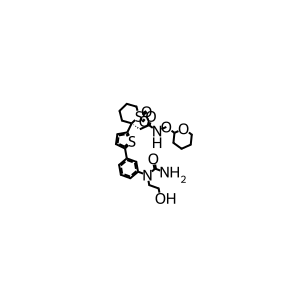 NC(=O)N(CCO)c1cccc(-c2ccc([C@@]3(CC(=O)NOC4CCCCO4)CCCCS3(=O)=O)s2)c1